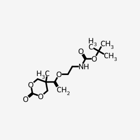 C=C(OCCNC(=O)OC(C)(C)C)C1(C)COC(=O)OC1